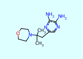 CC(C)(Cc1cnc(N)c(N)n1)N1CCOCC1